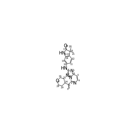 C=C(c1nccc2nc(Nc3ccc4c(c3)NC(=O)C4(C)C)nn12)C1CCOCC1